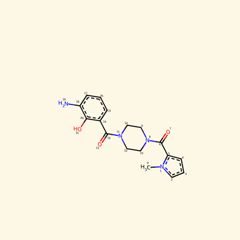 Cn1cccc1C(=O)N1CCN(C(=O)c2cccc(N)c2O)CC1